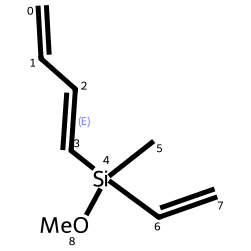 C=C/C=C/[Si](C)(C=C)OC